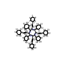 C(#Cc1ccccc1)C1=C(c2ccccc2)/C(C#Cc2ccccc2)=C(c2ccccc2)\C(C#Cc2ccccc2)=C(c2ccccc2)/C(C#Cc2ccccc2)=C\1c1ccccc1